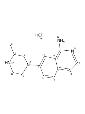 CC1CN(c2ccc3ncnc(N)c3c2)CCN1.Cl